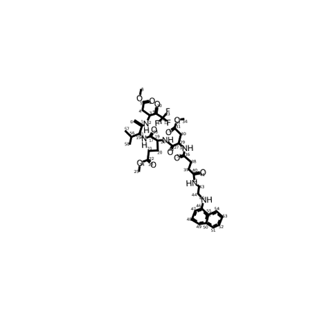 C=C(NC(CC(=O)OC)C(=O)C(F)(F)F)[C@H](NC(=O)C(CCC(=O)OC)NC(=O)C(CC(=O)OC)NC(=O)CCC(=O)NCCNc1cccc2ccccc12)C(C)C